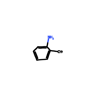 [CH]c1ccccc1N